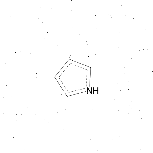 [c]1cc[nH]c1